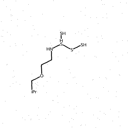 CC(C)COCCN[SH](S)SS